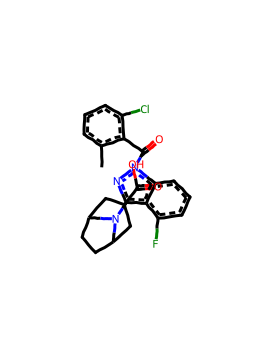 Cc1cccc(Cl)c1C(=O)n1nc(N2C3CCC2CC(C(=O)O)C3)c2c(F)cccc21